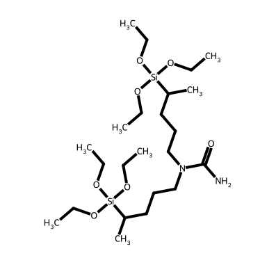 CCO[Si](OCC)(OCC)C(C)CCCN(CCCC(C)[Si](OCC)(OCC)OCC)C(N)=O